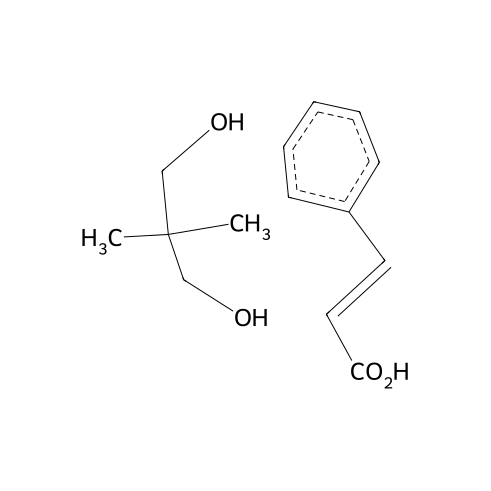 CC(C)(CO)CO.O=C(O)C=Cc1ccccc1